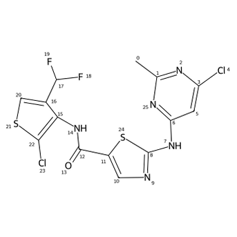 Cc1nc(Cl)cc(Nc2ncc(C(=O)Nc3c(C(F)F)csc3Cl)s2)n1